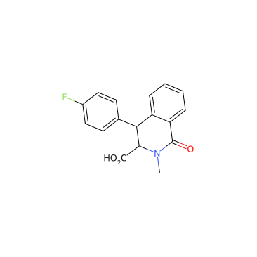 CN1C(=O)c2ccccc2C(c2ccc(F)cc2)C1C(=O)O